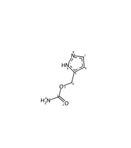 NC(=O)OCc1ccn[nH]1